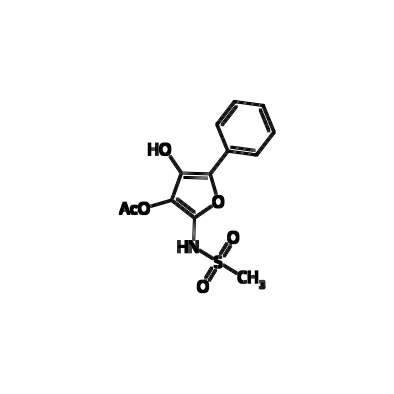 CC(=O)Oc1c(NS(C)(=O)=O)oc(-c2ccccc2)c1O